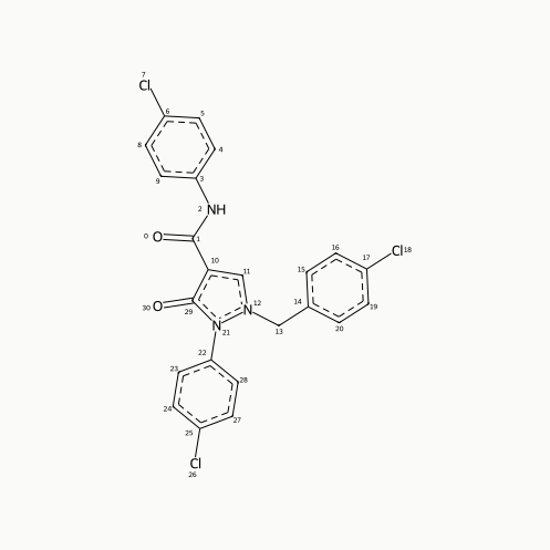 O=C(Nc1ccc(Cl)cc1)c1cn(Cc2ccc(Cl)cc2)n(-c2ccc(Cl)cc2)c1=O